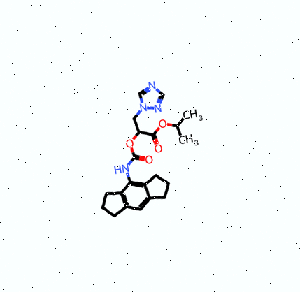 CC(C)OC(=O)C(Cn1cncn1)OC(=O)Nc1c2c(cc3c1CCC3)CCC2